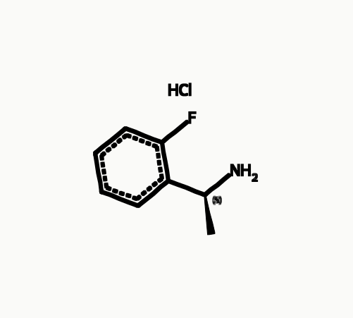 C[C@H](N)c1ccccc1F.Cl